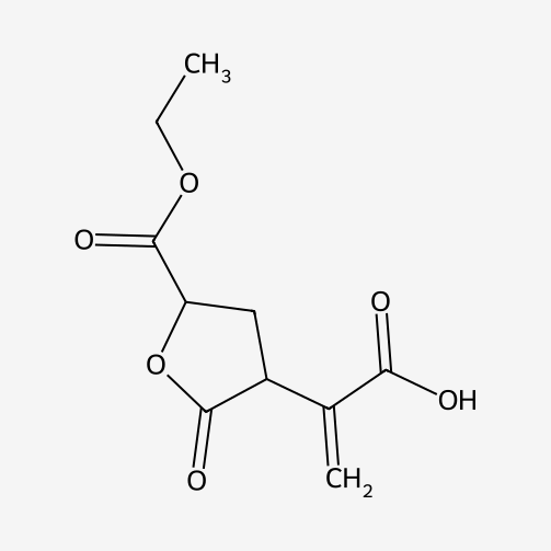 C=C(C(=O)O)C1CC(C(=O)OCC)OC1=O